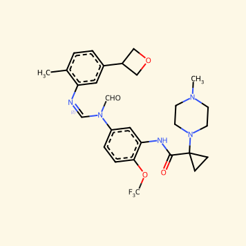 Cc1ccc(C2COC2)cc1/N=C\N(C=O)c1ccc(OC(F)(F)F)c(NC(=O)C2(N3CCN(C)CC3)CC2)c1